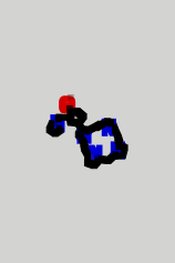 COc1ccc(C2=CC3=CC4=NC(=CC5=NC(=CC6=NC(=CC2=N3)C=C6)C=C5)C=C4)cc1CN1CCCC1